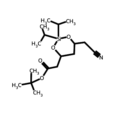 CC(C)[Si]1(C(C)C)OC(CC#N)CC(CC(=O)OC(C)(C)C)O1